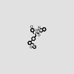 O=C(N[C@H](C=C1CCC(c2ccccc2CN2CCCC2=O)CC1)Cc1ccc(Cl)cc1)[C@H]1Cc2ccccc2CN1